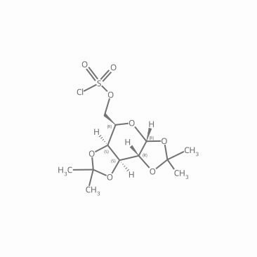 CC1(C)O[C@H]2[C@@H](O1)[C@@H](COS(=O)(=O)Cl)O[C@@H]1OC(C)(C)O[C@@H]12